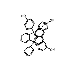 Oc1ccc(C(c2ccccc2)(c2ccc(O)cc2)c2ccccc2C(c2ccccc2)(c2ccc(O)cc2)c2ccc(O)cc2)cc1